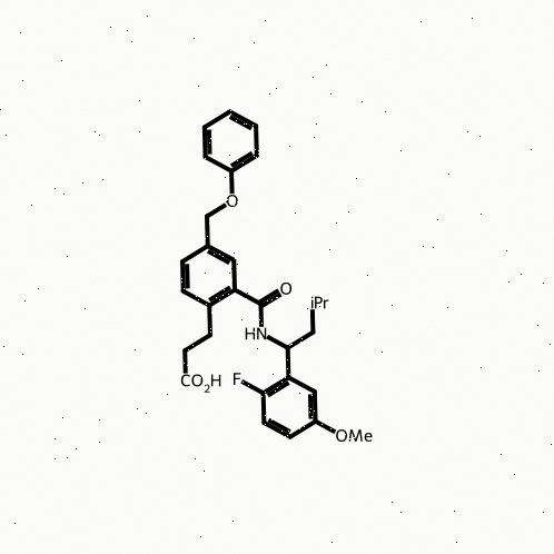 COc1ccc(F)c(C(CC(C)C)NC(=O)c2cc(COc3ccccc3)ccc2CCC(=O)O)c1